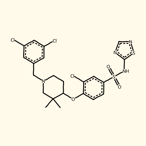 CC1(C)CN(Cc2cc(Cl)cc(Cl)c2)CCC1Oc1ccc(S(=O)(=O)Nc2ncns2)cc1Cl